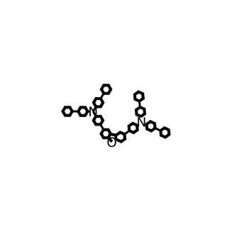 c1ccc(-c2ccc(N(c3ccc(-c4ccccc4)cc3)c3ccc(-c4ccc5oc6ccc(-c7ccc(N(c8ccc(-c9ccccc9)cc8)c8ccc(-c9ccccc9)cc8)cc7)cc6c5c4)cc3)cc2)cc1